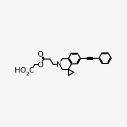 O=C(O)COC(=O)CCN1Cc2ccc(C#Cc3ccccc3)cc2C2(CC2)C1